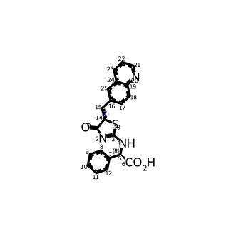 O=C1N=C(N[C@@H](C(=O)O)c2ccccc2)S/C1=C\c1ccc2ncccc2c1